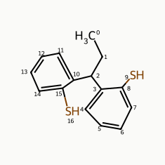 CCC(c1ccccc1S)c1ccccc1S